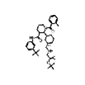 Cc1ccccc1C(=O)N1CCCC(C(=O)Nc2cccc(C(C)(C)C)c2)C1C1CCC[C@@H](CNCC(=O)OC(C)(C)C)C1